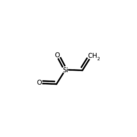 C=C[Si](=O)C=O